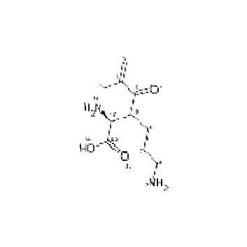 C=C(C)C(=O)C(CCCN)[C@H](N)C(=O)O